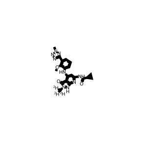 [2H]C([2H])([2H])n1[nH]c2nc(NC(=O)C3CC3)cc(Nc3cccc(-c4nnn(C)n4)c3OC)c2c1=O